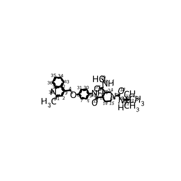 Cc1cc(COc2ccc(NC(=O)C3CCN(C(=O)NC(C)(C)C)C[C@@H]3C(=O)NO)cc2)c2ccccc2n1